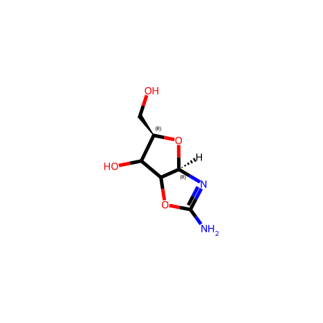 NC1=N[C@@H]2O[C@H](CO)C(O)C2O1